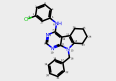 Clc1cccc(Nc2ncnc3c2c2c(n3Cc3ccccc3)CCCC2)c1